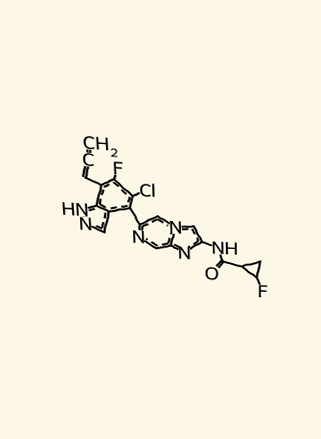 C=C=Cc1c(F)c(Cl)c(-c2cn3cc(NC(=O)C4CC4F)nc3cn2)c2cn[nH]c12